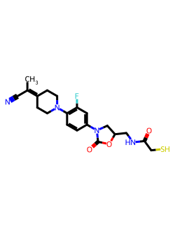 CC(C#N)=C1CCN(c2ccc(N3CC(CNC(=O)CS)OC3=O)cc2F)CC1